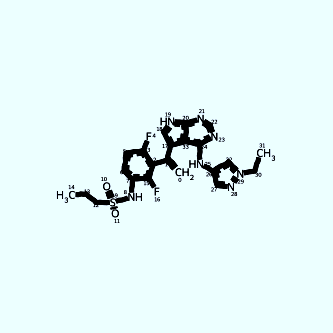 C=C(c1c(F)ccc(NS(=O)(=O)CCC)c1F)c1c[nH]c2ncnc(Nc3cnn(CC)c3)c12